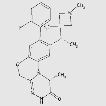 C[C@@H]1C(=O)NN=C2COc3cc(-c4ccccc4F)c([C@@H](C)C4(C)CN(C)C4)cc3N21